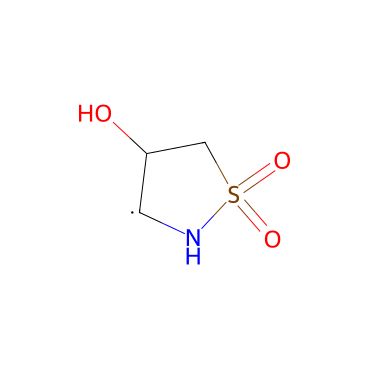 O=S1(=O)CC(O)[CH]N1